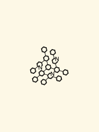 c1ccc(-c2ccc(-c3cc(-c4ccc(-c5ccccc5)cc4-c4ccc(-c5ccccc5)nc4)cc(-c4ccc(-c5ccccc5)cc4-c4cnc(-c5ccccc5)cc4-c4ccccc4)c3)c(-c3ccc(-c4ccccc4)nc3)c2)cc1